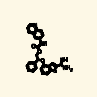 N=C(N)c1cc2c(OC(COC(=O)Nc3ccc4ncccc4c3)c3ccccc3)cccc2s1